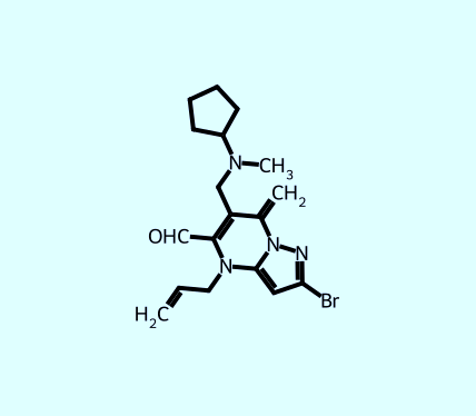 C=CCN1C(C=O)=C(CN(C)C2CCCC2)C(=C)n2nc(Br)cc21